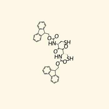 O=C(N[C@@H](CS)C(=O)C(=O)[C@H](CS)NC(=O)OCC1c2ccccc2-c2ccccc21)OCC1c2ccccc2-c2ccccc21